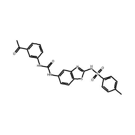 CC(=O)c1cccc(NC(=O)Nc2ccc3sc(NS(=O)(=O)c4ccc(C)cc4)nc3c2)c1